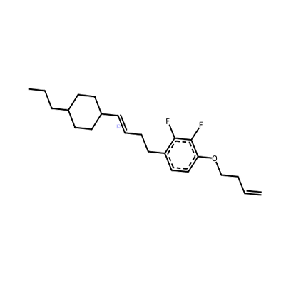 C=CCCOc1ccc(CC/C=C/C2CCC(CCC)CC2)c(F)c1F